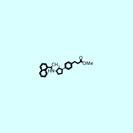 COC(=O)CCc1ccc([C@H]2CC[C@H](NC(C)c3cccc4ccccc34)C2)cc1